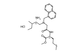 CCC(C)[C@H](N)CN(CC(=O)N[C@@H](CCSC)C(=O)OC)Cc1cccc2ccccc12.Cl